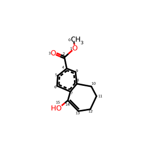 COC(=O)c1ccc2c(c1)CCCC=C2O